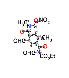 CCOC(=O)N(C=O)C(=O)c1cc(C=O)c(C(=O)N(C)CO[N+](=O)[O-])cc1C